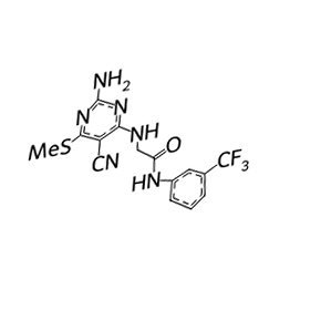 CSc1nc(N)nc(NCC(=O)Nc2cccc(C(F)(F)F)c2)c1C#N